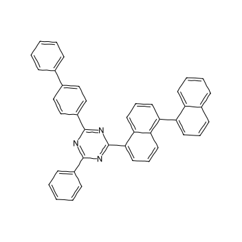 c1ccc(-c2ccc(-c3nc(-c4ccccc4)nc(-c4cccc5c(-c6cccc7ccccc67)cccc45)n3)cc2)cc1